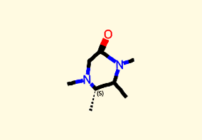 CC1[C@H](C)N(C)CC(=O)N1C